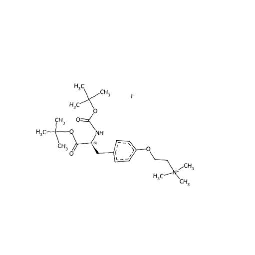 CC(C)(C)OC(=O)N[C@@H](Cc1ccc(OCC[N+](C)(C)C)cc1)C(=O)OC(C)(C)C.[I-]